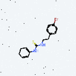 S=C(NCCc1ccc(Br)cc1)NC1=CC[CH]C=C1